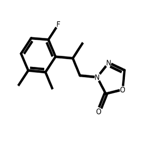 Cc1ccc(F)c(C(C)Cn2ncoc2=O)c1C